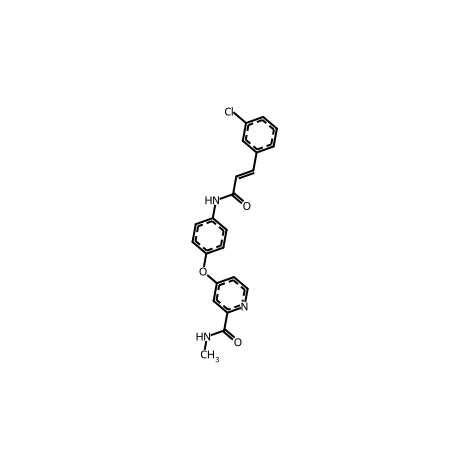 CNC(=O)c1cc(Oc2ccc(NC(=O)C=Cc3cccc(Cl)c3)cc2)ccn1